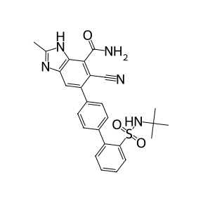 Cc1nc2cc(-c3ccc(-c4ccccc4S(=O)(=O)NC(C)(C)C)cc3)c(C#N)c(C(N)=O)c2[nH]1